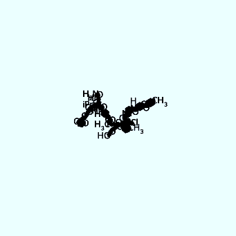 Cc1cccc2c(OC(=O)N(CCOCCO)CCN(C)C(=O)OCc3ccc(NC(=O)[C@H](CCCNC(N)=O)NC(=O)[C@@H](NC(=O)OCCOCCN4C(=O)C=CC4=O)C(C)C)cc3)cc3c(c12)C(CCl)CN3C(=O)c1cn2cc(NC(=O)c3ccc(OC(=O)N4CCN(C)CC4)cc3)ccc2n1